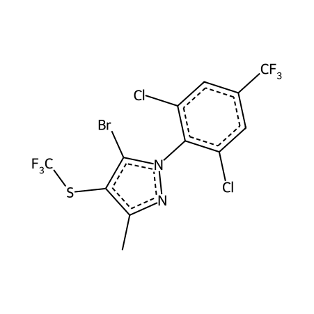 Cc1nn(-c2c(Cl)cc(C(F)(F)F)cc2Cl)c(Br)c1SC(F)(F)F